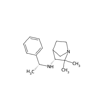 C[C@@H](N[C@@H]1C2CCN(C2)C1(C)C)c1ccccc1